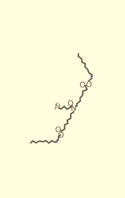 CCCCCCCC/C=C\COC(=O)CCCCCCCN(CCCCCCCC(=O)OC/C=C\CCCCCCCC)C(=O)CCCN(C)C